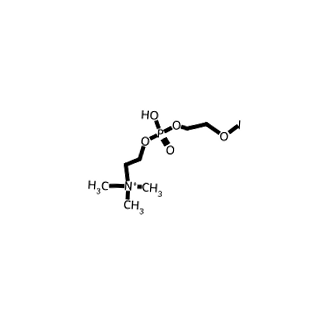 C[N+](C)(C)CCOP(=O)(O)OCCOI